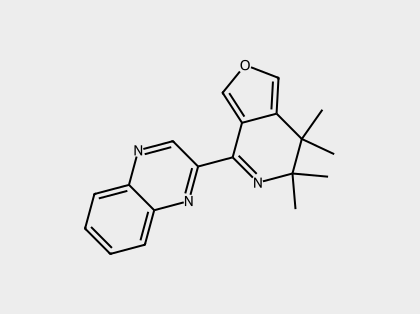 CC1(C)N=C(c2cnc3ccccc3n2)c2cocc2C1(C)C